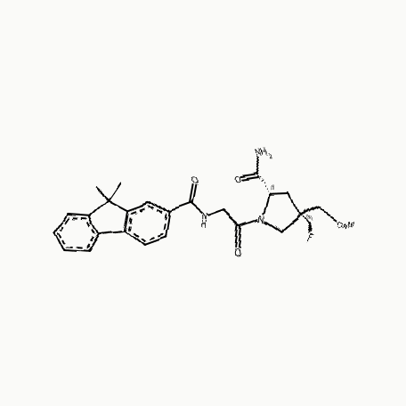 COC[C@@]1(F)C[C@@H](C(N)=O)N(C(=O)CNC(=O)c2ccc3c(c2)C(C)(C)c2ccccc2-3)C1